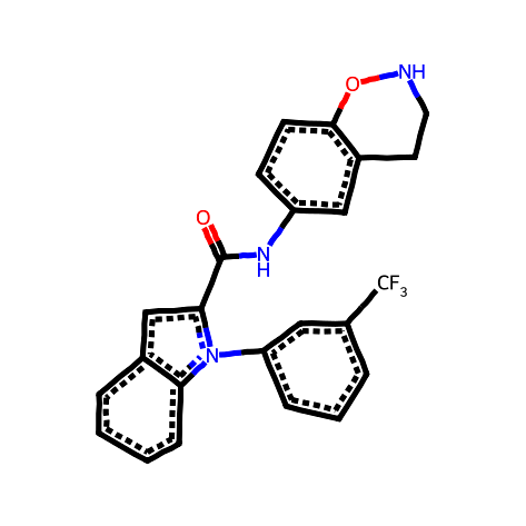 O=C(Nc1ccc2c(c1)CCNO2)c1cc2ccccc2n1-c1cccc(C(F)(F)F)c1